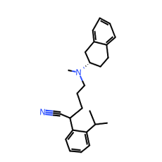 CC(C)c1ccccc1C(C#N)CCCN(C)[C@H]1CCc2ccccc2C1